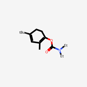 CCN(CC)C(=O)OC1=C(C)C=C(C(C)(C)C)C[CH]1